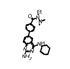 CCN(C(=O)c1ccc(-c2ccc3nc(N)nc(NC4CCCCC4)c3c2)cc1)N(C)C